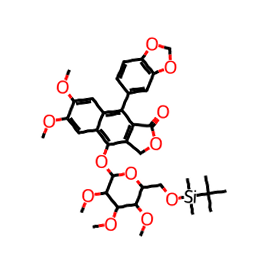 COc1cc2c(OC3OC(CO[Si](C)(C)C(C)(C)C)C(OC)C(OC)C3OC)c3c(c(-c4ccc5c(c4)OCO5)c2cc1OC)C(=O)OC3